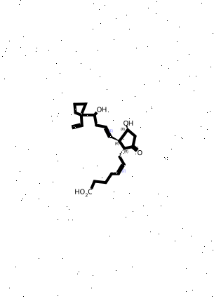 C=CC1(C(O)C/C=C/[C@H]2[C@H](O)CC(=O)[C@@H]2C/C=C\CCCC(=O)O)CCC1